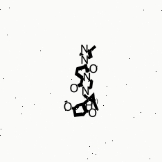 COc1ccc2c(c1)C1(CN3CCn4c(ccc(-n5cnc(C)c5)c4=O)C3=O)C[C@H]1CO2